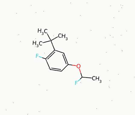 CC(F)Oc1ccc(F)c(C(C)(C)C)c1